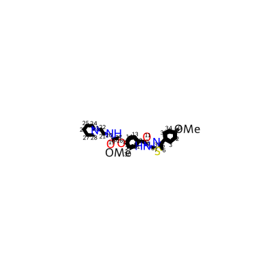 COc1ccc(-c2csc(NC(=O)c3ccc(OCC(=O)NCCN4CCCCC4)c(OC)c3)n2)cc1